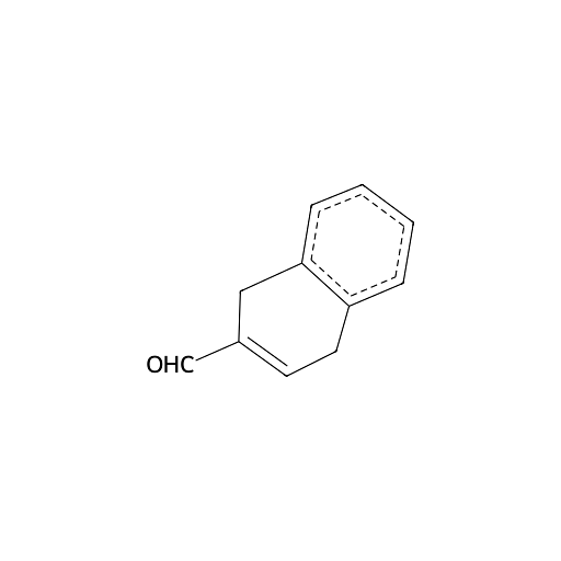 O=CC1=CCc2ccccc2C1